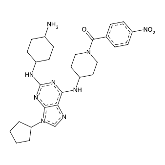 NC1CCC(Nc2nc(NC3CCN(C(=O)c4ccc([N+](=O)[O-])cc4)CC3)c3ncn(C4CCCC4)c3n2)CC1